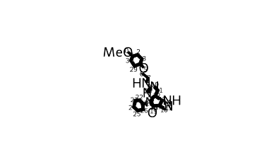 COc1ccc(OCCNc2ncc3c4[nH]ncc4c(=O)n(-c4ccccc4)c3n2)cc1